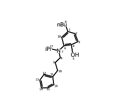 CCCCc1ccc(O)c(N(CCCc2ccccc2)C(C)C)c1